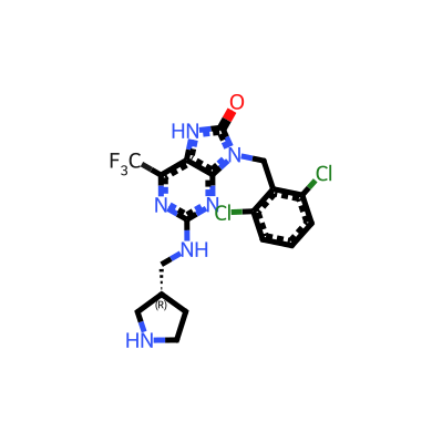 O=c1[nH]c2c(C(F)(F)F)nc(NC[C@@H]3CCNC3)nc2n1Cc1c(Cl)cccc1Cl